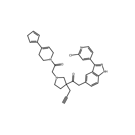 C#CCC1(C(=O)Cc2ccc3[nH]nc(-c4ccnc(Cl)c4)c3c2)CCN(CC(=O)N2CC=C(C3=CCC=C3)CC2)C1